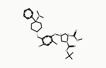 COC(=O)[C@@H]1C[C@H](Oc2cc(C[C@H]3CC[C@](c4ccccc4)(N(C)C)CC3)c(F)cc2F)CN1C(=O)OC(C)(C)C